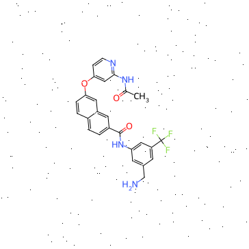 CC(=O)Nc1cc(Oc2ccc3ccc(C(=O)Nc4cc(CN)cc(C(F)(F)F)c4)cc3c2)ccn1